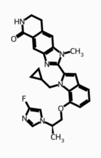 C[C@H](COc1cccc2cc(-c3nc4cc5c(cc4n3C)CCNC5=O)n(CC3CC3)c12)n1cnc(F)c1